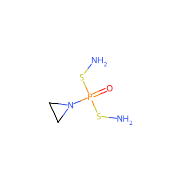 NSP(=O)(SN)N1CC1